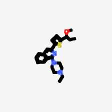 CCC(OC)c1ccc(-c2cc3ccccc3c(N3CCN(CC)CC3)n2)s1